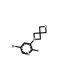 Fc1ncc(Br)cc1N1CC2(COC2)C1